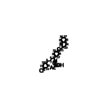 CC(=O)N(O)O[N]C(CCCc1ccc(Cl)cc1)c1ccc(OCc2ccc3ccccc3n2)cc1